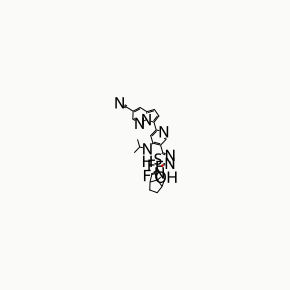 CC(C)Nc1cc(-c2ccc3cc(C#N)cnn23)ncc1-c1nnc(N2CC3CCC(C2)C3(O)C(F)(F)F)s1